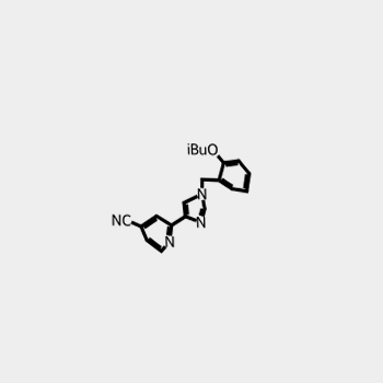 CC(C)COc1ccccc1Cn1cnc(-c2cc(C#N)ccn2)c1